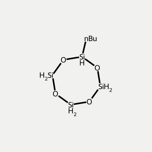 CCCC[SiH]1O[SiH2]O[SiH2]O[SiH2]O1